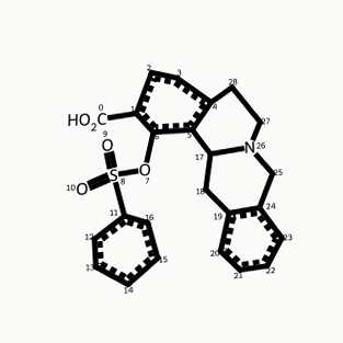 O=C(O)c1ccc2c(c1OS(=O)(=O)c1ccccc1)C1Cc3ccccc3CN1CC2